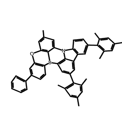 Cc1cc(C)c(-c2ccc3c(c2)c2cc(-c4c(C)cc(C)cc4C)cc4c2n3-c2cc(C)cc3c2B4c2ccc(-c4ccccc4)cc2O3)c(C)c1